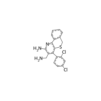 NCc1c(N)nc2c(c1-c1ccc(Cl)cc1Cl)SCc1ccccc1-2